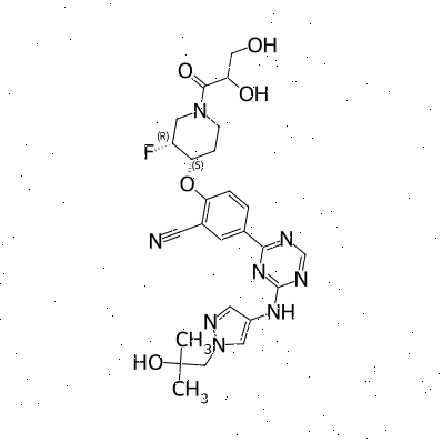 CC(C)(O)Cn1cc(Nc2ncnc(-c3ccc(O[C@H]4CCN(C(=O)C(O)CO)C[C@H]4F)c(C#N)c3)n2)cn1